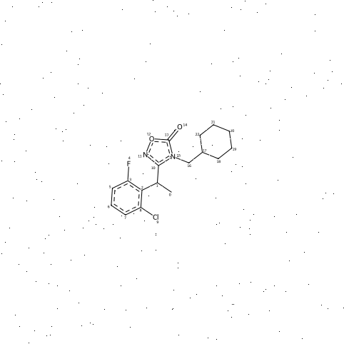 CC(c1c(F)cccc1Cl)c1noc(=O)n1CC1CCCCC1